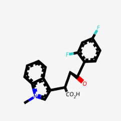 Cn1cc(C(CC(=O)c2ccc(F)cc2F)C(=O)O)c2ccccc21